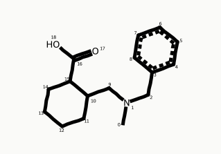 CN(Cc1ccccc1)CC1CCCCC1C(=O)O